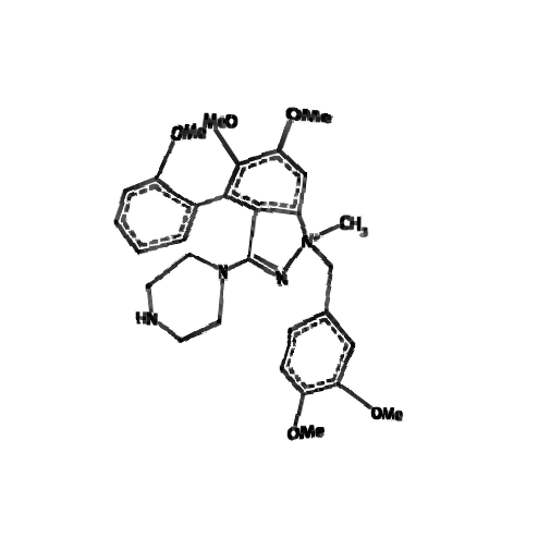 COc1ccc(C[N+]2(C)N=C(N3CCNCC3)c3c2cc(OC)c(OC)c3-c2ccccc2OC)cc1OC